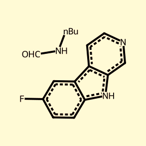 CCCCNC=O.Fc1ccc2[nH]c3cnccc3c2c1